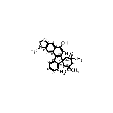 CN1CSc2cc3c(O)cc4c(c3cc21)-c1ccccc1C41CC(C)(C)CC(C)(C)C1